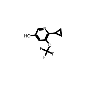 Oc1cnc(C2CC2)c(OC(F)(F)F)c1